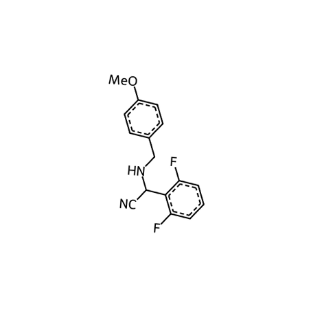 COc1ccc(CNC(C#N)c2c(F)cccc2F)cc1